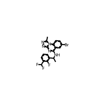 Cc1nnc2nc(NC(C)c3cccc(C(F)F)c3F)c3cc(Br)ccc3n12